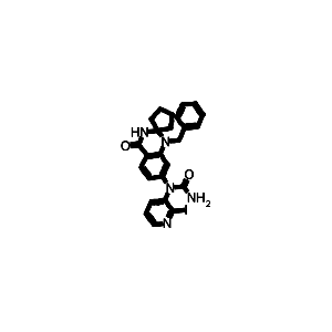 NC(=O)N(c1ccc2c(c1)N(Cc1ccccc1)C1(CCCC1)NC2=O)c1cccnc1I